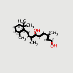 CC(C=CC(O)=C(C)CCC1=C(C)CCCC1(C)C)=CCO